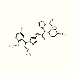 COCC(c1cc(F)cnc1OC)n1cc(NC(=O)[C@H](C2CCC(C)CC2)N2C=CCN2C(C)C)cn1